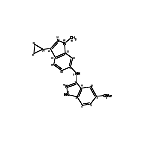 COc1ccc2[nH]nc(Nc3ccc4c(C5CC5)nn(C)c4c3)c2c1